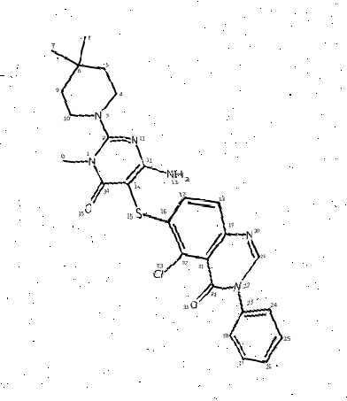 Cn1c(N2CCC(C)(C)CC2)nc(N)c(Sc2ccc3ncn(-c4ccccc4)c(=O)c3c2Cl)c1=O